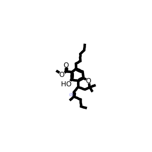 CCCCCc1cc2c(c(O)c1C(=O)OC)C(/C=C(/C)CCC)CC(C)(C)O2